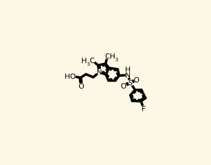 Cc1c(C)n(CCC(=O)O)c2ccc(NS(=O)(=O)c3ccc(F)cc3)cc12